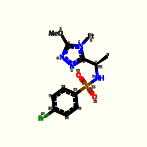 CCn1c(OC)nnc1[C@@H](C)NS(=O)(=O)c1ccc(Br)cc1